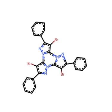 Brc1c(-c2ccccc2)nn2c1n1nc(-c3ccccc3)c(Br)c1n1nc(-c3ccccc3)c(Br)c21